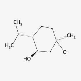 CC(C)[C@@H]1CC[C@@](C)([O])C[C@H]1O